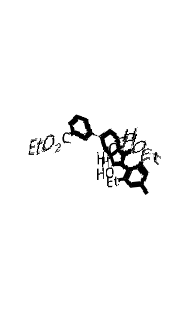 CCOC(=O)c1cccc([C@@H]2C[C@@H]3O[C@H]2[C@H]2C(O)=C(c4c(CC)cc(C)cc4CC)C(=O)[C@H]23)c1